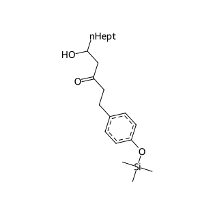 CCCCCCCC(O)CC(=O)CCc1ccc(O[Si](C)(C)C)cc1